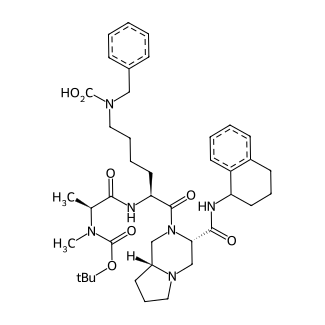 C[C@@H](C(=O)N[C@@H](CCCCN(Cc1ccccc1)C(=O)O)C(=O)N1C[C@H]2CCCN2C[C@H]1C(=O)NC1CCCc2ccccc21)N(C)C(=O)OC(C)(C)C